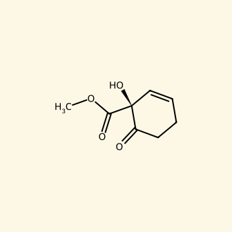 COC(=O)[C@]1(O)C=CCCC1=O